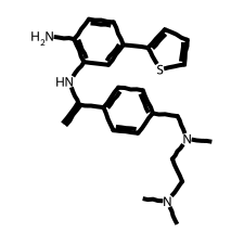 C=C(Nc1cc(-c2cccs2)ccc1N)c1ccc(CN(C)CCN(C)C)cc1